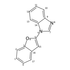 c1ccc2oc(-n3cnc4ccccc43)cc2c1